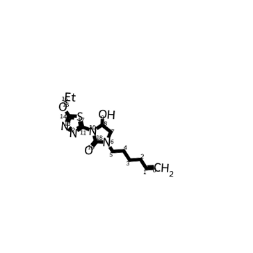 C=CCCCCN1CC(O)N(c2nnc(OCC)s2)C1=O